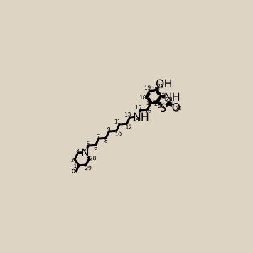 CC1CCN(CCCCCCCCCNCCc2ccc(O)c3[nH]c(=O)sc23)CC1